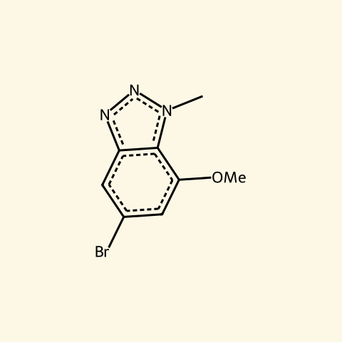 COc1cc(Br)cc2nnn(C)c12